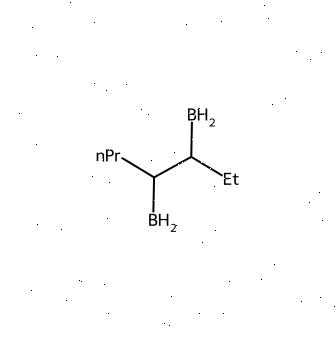 BC(CC)C(B)CCC